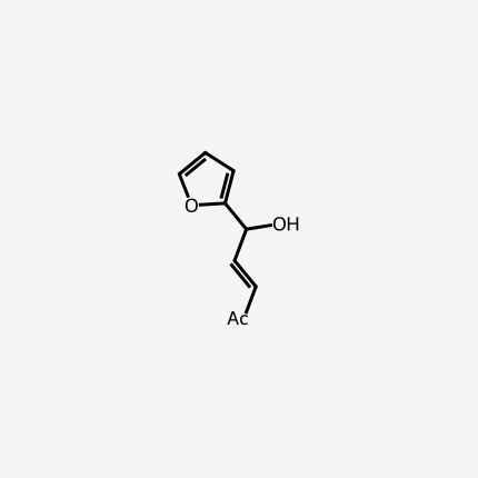 CC(=O)/C=C/C(O)c1ccco1